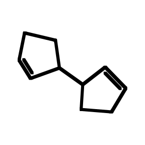 C1=CC(C2C=CCC2)CC1